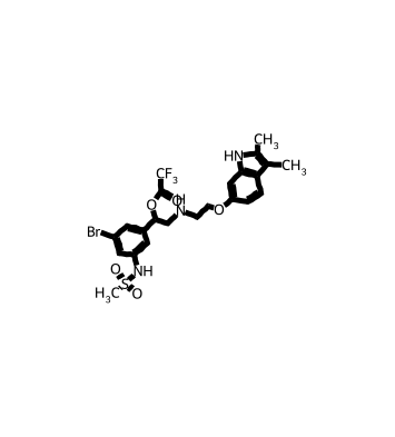 Cc1[nH]c2cc(OCCNCC(OC(=O)C(F)(F)F)c3cc(Br)cc(NS(C)(=O)=O)c3)ccc2c1C